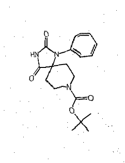 CC(C)(C)OC(=O)N1CCC2(CC1)C(=O)NC(=O)N2c1ccccc1